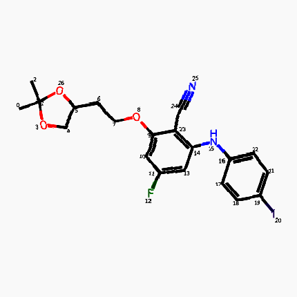 CC1(C)OCC(CCOc2cc(F)cc(Nc3ccc(I)cc3)c2C#N)O1